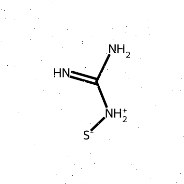 N=C(N)[NH2+][S-]